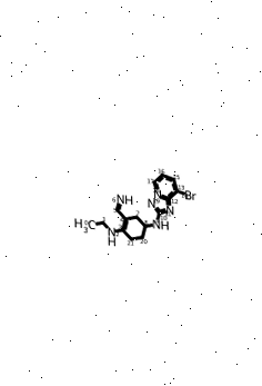 CCNC1=C(C=N)CC(Nc2nc3c(Br)cccn3n2)CC1